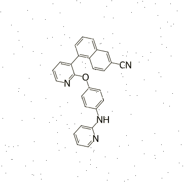 N#Cc1ccc2c(-c3cccnc3Oc3ccc(Nc4ccccn4)cc3)cccc2c1